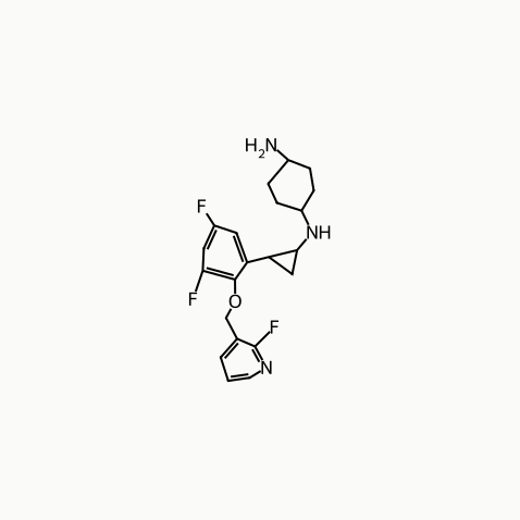 NC1CCC(NC2CC2c2cc(F)cc(F)c2OCc2cccnc2F)CC1